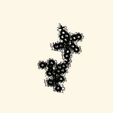 CC(C)(C)c1cc2ccc3c4c5c(c6ccc(c1)c2c36)N(c1ccc2ccccc2c1)c1cc2ccccc2cc1B5N(c1ccc2cc(CC(C)(C)c3cc5ccc6c7c8c(c9ccc(c3)c5c69)-n3c5c(cccc5c5c3c3ccccc3n5-c3ccccc3)B8n3c5c-7cccc5c5c3c3ccccc3n5-c3ccccc3)ccc2c1)c1cc2ccccc2cc1-4